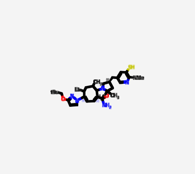 CCC1CC(C)C(N2C[C@@H](Cc3cnc(NC)c(S)c3)CC2(C)C)/C(C(N)=O)=C\C=C/1n1ccc(OCC(C)(C)C)n1